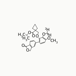 [2H]C([2H])Oc1c(OC)ccc(-c2ccc3c(c2)COC3=O)c1OCC1(C(=O)OC(C)C)CCC1